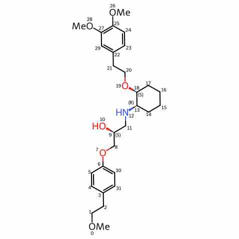 COCCc1ccc(OC[C@@H](O)CN[C@@H]2CCCC[C@@H]2OCCc2ccc(OC)c(OC)c2)cc1